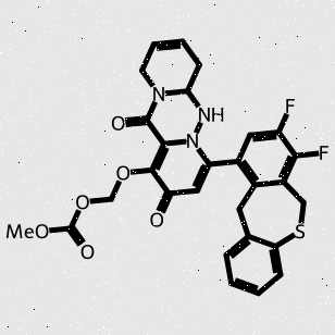 COC(=O)OCOc1c2n(c(-c3cc(F)c(F)c4c3Cc3ccccc3SC4)cc1=O)NC1CC=CCN1C2=O